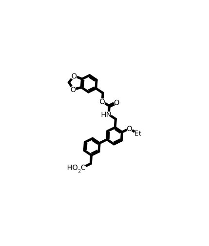 CCOc1ccc(-c2cccc(CC(=O)O)c2)cc1CNC(=O)OCc1ccc2c(c1)OCO2